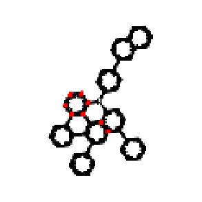 c1ccc(-c2ccc(N(c3ccc(-c4ccc5ccccc5c4)cc3)c3ccccc3-c3cccc(-c4ccccc4)c3-c3ccccc3-c3ccccc3)cc2)cc1